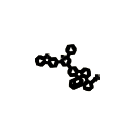 N#Cc1ccccc1-c1cccc2c1C1(c3ccc(-c4cc(-c5ccccc5)nc(-c5ccc6c(c5)sc5ccccc56)c4)cc3-2)C2CC3CC(C2)CC1C3